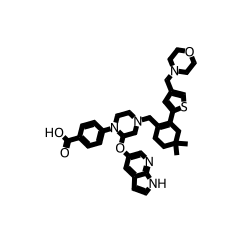 CC1(C)CCC(CN2CCN(c3ccc(C(=O)O)cc3)C(Oc3cnc4[nH]ccc4c3)C2)=C(c2cc(CN3CCOCC3)cs2)C1